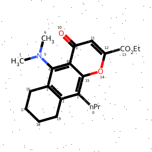 CCCc1c2c(c(N(C)C)c3c(=O)cc(C(=O)OCC)oc13)CCCC2